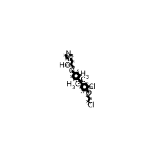 CC(C)(c1ccc(OCC(O)Cn2ccnc2)cc1)c1ccc(OCCCCl)c(Cl)c1